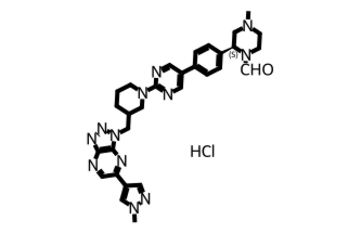 CN1CCN(C=O)[C@@H](c2ccc(-c3cnc(N4CCCC(Cn5nnc6ncc(-c7cnn(C)c7)nc65)C4)nc3)cc2)C1.Cl